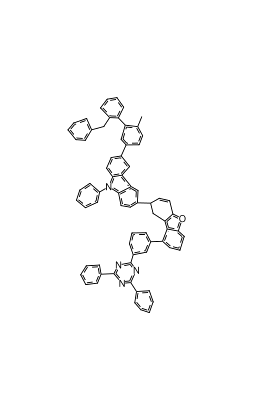 Cc1ccc(-c2ccc3c(c2)c2cc(C4C=Cc5oc6cccc(-c7cccc(-c8nc(-c9ccccc9)nc(-c9ccccc9)n8)c7)c6c5C4)ccc2n3-c2ccccc2)cc1-c1ccccc1Cc1ccccc1